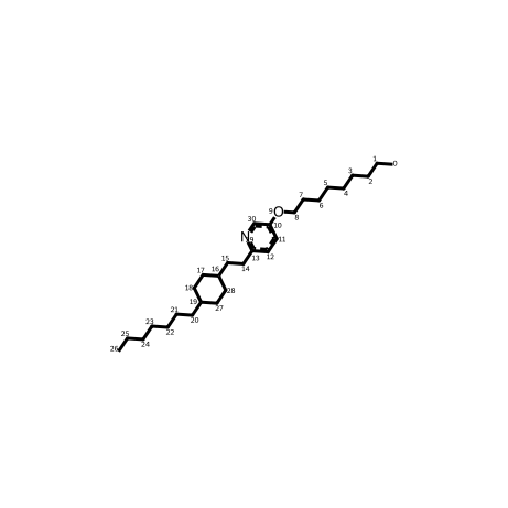 CCCCCCCCCOc1ccc(CCC2CCC(CCCCCCC)CC2)nc1